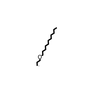 [CH2]CCOCCCCCCCCCCC